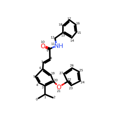 CC(C)c1ccc(/C=C/C(=O)NCc2ccccc2)cc1Oc1ccccc1